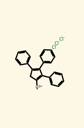 [Cl-].[Cl-].[Cl-].[V+3][C]1=C(c2ccccc2)C(c2ccccc2)=C(c2ccccc2)C1